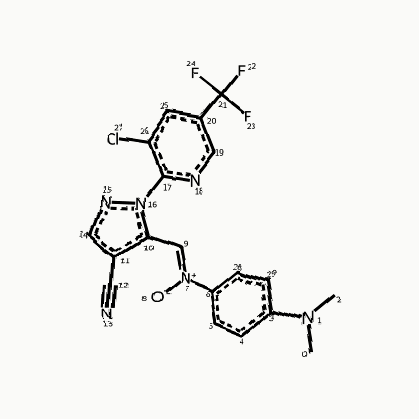 CN(C)c1ccc([N+]([O-])=Cc2c(C#N)cnn2-c2ncc(C(F)(F)F)cc2Cl)cc1